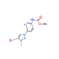 Cc1nn(-c2ccc(NC(=O)OC(C)(C)C)cn2)cc1Br